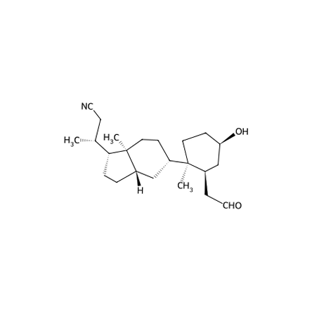 C[C@H](CC#N)[C@H]1CC[C@H]2C[C@@H]([C@@]3(C)CC[C@@H](O)C[C@H]3CC=O)CC[C@@]21C